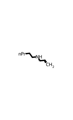 C=C[CH]NCCCCC